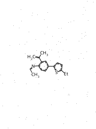 C=C(C)c1cc(-c2ccc(CC)s2)ccc1/N=C\C